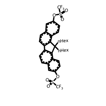 CCCCCCC1(CCCCCC)c2c(ccc3cc(OS(=O)(=O)C(F)(F)F)ccc23)-c2ccc3cc(OS(=O)(=O)C(F)(F)F)ccc3c21